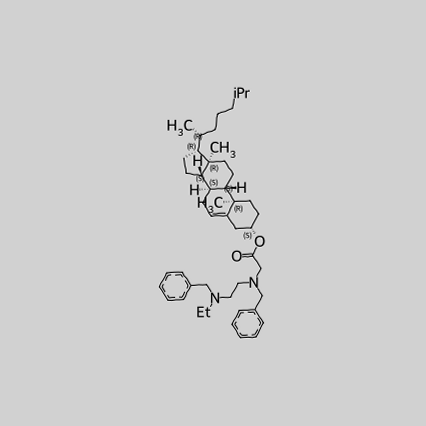 CCN(CCN(CC(=O)O[C@H]1CC[C@@]2(C)C(=CC[C@H]3[C@@H]4CC[C@H]([C@H](C)CCCC(C)C)[C@@]4(C)CC[C@@H]32)C1)Cc1ccccc1)Cc1ccccc1